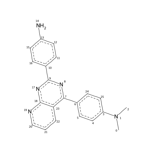 CN(C)c1ccc(-c2nc(-c3ccc(N)cc3)nc3ncccc23)cc1